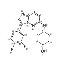 OC1CCC(Nc2ccc3ncc(-c4ccc(F)c(F)c4)n3n2)CC1